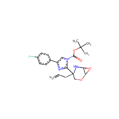 C=CCC1(c2nc(-c3ccc(F)cc3)cn2C(=O)OC(C)(C)C)COC2OC2N1